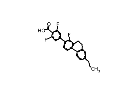 CCCc1ccc2c(c1)CCc1c-2ccc(-c2cc(F)c(C(=O)O)c(F)c2)c1F